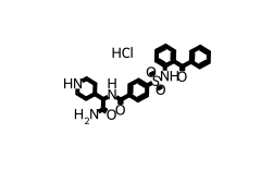 Cl.NC(=O)C(NC(=O)c1ccc(S(=O)(=O)Nc2ccccc2C(=O)c2ccccc2)cc1)C1CCNCC1